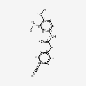 COc1ccc(NC(=O)Cc2ccc(C#N)cc2)cc1OC